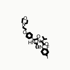 CC(C)[C@@H](C(=O)Nc1ccc(I)cc1F)N1C(=O)N[C@H](c2ccc(OCCN3CCOCC3)cc2)C1=O